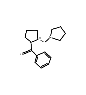 O=C(c1cc[c]cc1)N1CCC[C@@H]1CN1CCCC1